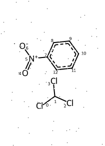 ClC(Cl)Cl.O=[N+]([O-])c1ccccc1